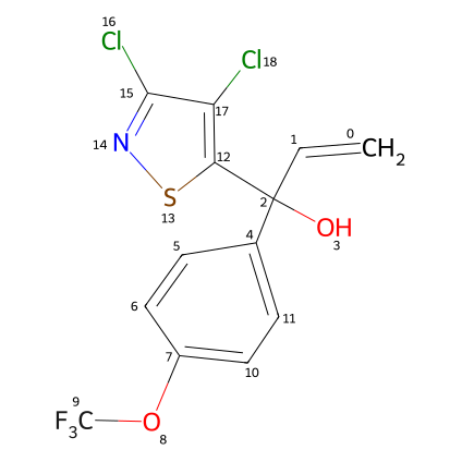 C=CC(O)(c1ccc(OC(F)(F)F)cc1)c1snc(Cl)c1Cl